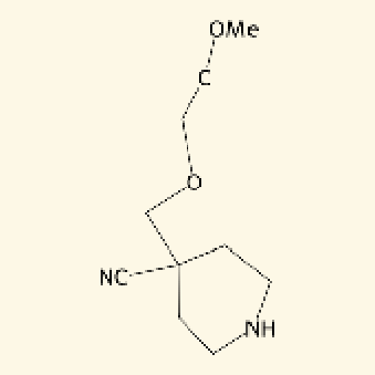 COCCOCC1(C#N)CCNCC1